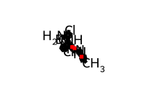 CCC1(NC(=O)c2cc(CCn3nnc(-c4ccc(C)cc4)n3)nn2-c2ncccc2Cl)C=CC(Cl)=CC1C(N)=O